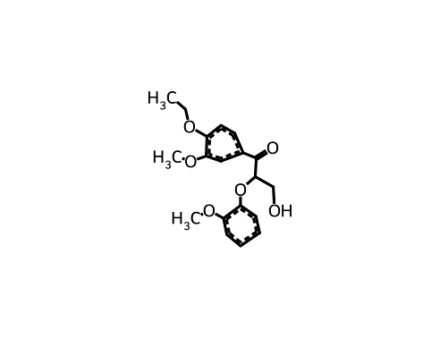 CCOc1ccc(C(=O)C(CO)Oc2ccccc2OC)cc1OC